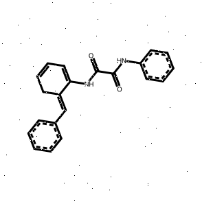 O=C(NC1=CC=CCC1=Cc1ccccc1)C(=O)Nc1ccccc1